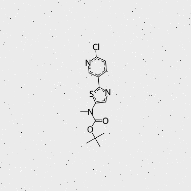 CN(C(=O)OC(C)(C)C)c1cnc(-c2ccc(Cl)nc2)s1